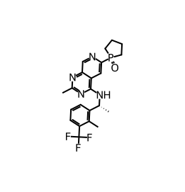 Cc1nc(N[C@H](C)c2cccc(C(F)(F)F)c2C)c2cc(P3(=O)CCCC3)ncc2n1